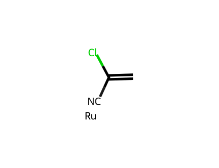 C=C(Cl)C#N.[Ru]